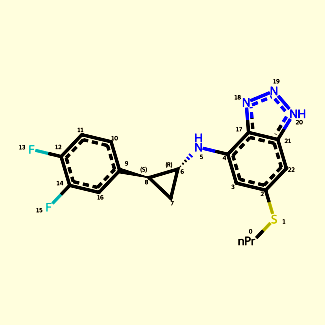 CCCSc1cc(N[C@@H]2C[C@H]2c2ccc(F)c(F)c2)c2nn[nH]c2c1